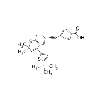 CC1(C)C=C(c2ccc(C(C)(C)C)s2)c2cc(C#Cc3ccc(C(=O)O)cc3)ccc2S1